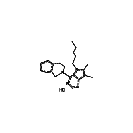 CCCCCn1c(C)c(C)c2ccnc(N3CCc4ccccc4C3)c21.Cl